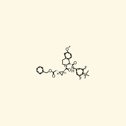 COc1ccc2c(c1)CCN(C(=O)[C@H]1C[C@@H]1CC(=O)OCc1ccccc1)[C@H]2C(=O)Nc1cc(F)c([Si](C)(C)C)c(F)c1